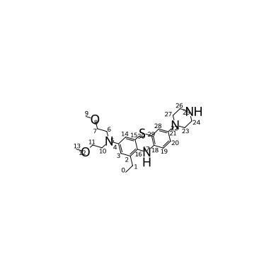 CCc1cc(N(CCOC)CCOC)cc2c1Nc1ccc(N3CCNCC3)cc1S2